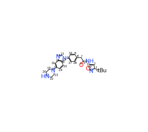 CC(C)(C)c1cc(NC(=O)Cc2ccc(-n3cnc4cc(N5CCNCC5)ccc43)cc2)on1